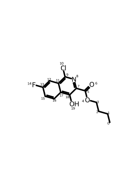 CCCCOC(=O)c1nc(Cl)c2cc(F)ccc2c1O